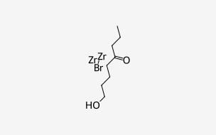 CCCC(=O)CCCCO.[Br][Zr].[Zr]